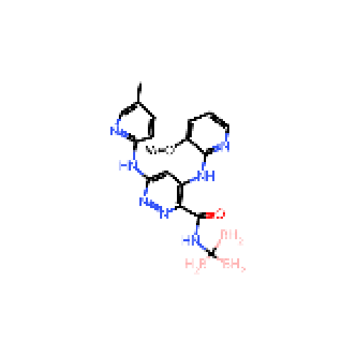 BC(B)(B)NC(=O)c1nnc(Nc2ccc(C)cn2)cc1Nc1ncccc1OC